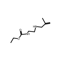 C=C(C)CNCCNC(=O)OCC